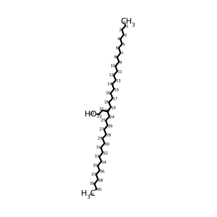 CCCCCCCCCCCCCCCCCCCCC(CCO)CCCCCCCCCCCCCCCCCC